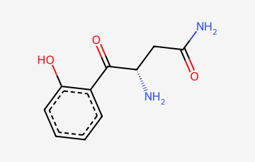 NC(=O)C[C@H](N)C(=O)c1ccccc1O